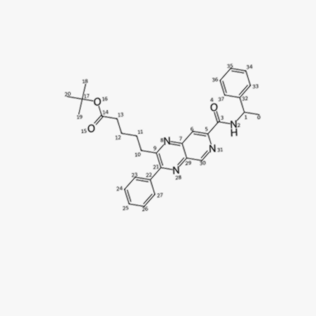 CC(NC(=O)c1cc2nc(CCCCC(=O)OC(C)(C)C)c(-c3ccccc3)nc2cn1)c1ccccc1